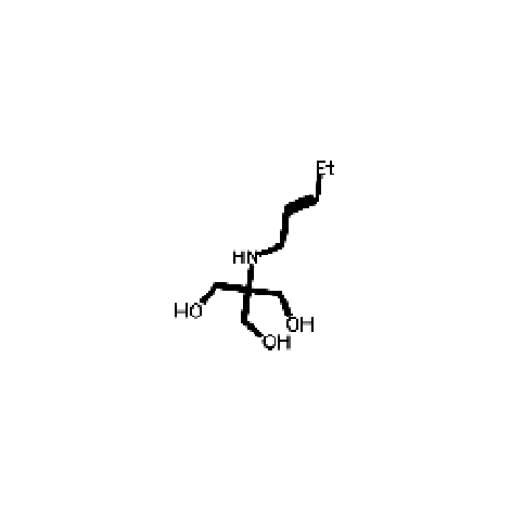 CC/C=C/CNC(CO)(CO)CO